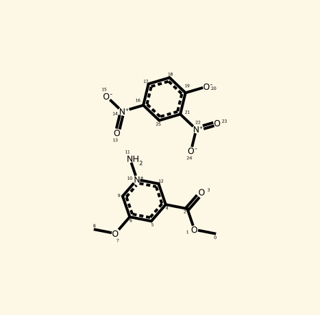 COC(=O)c1cc(OC)c[n+](N)c1.O=[N+]([O-])c1ccc([O-])c([N+](=O)[O-])c1